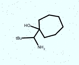 CC(C)(C)C(N)C1(O)CCCCCC1